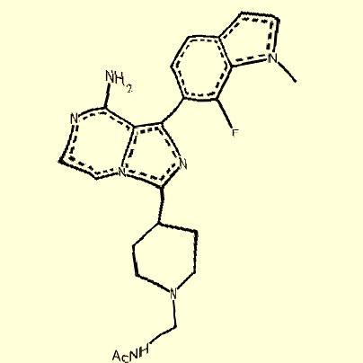 CC(=O)NCN1CCC(c2nc(-c3ccc4ccn(C)c4c3F)c3c(N)nccn23)CC1